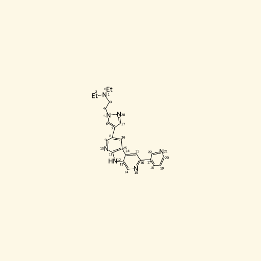 CCN(CC)CCn1cc(-c2cnc3[nH]c4cnc(-c5cccnc5)cc4c3c2)cn1